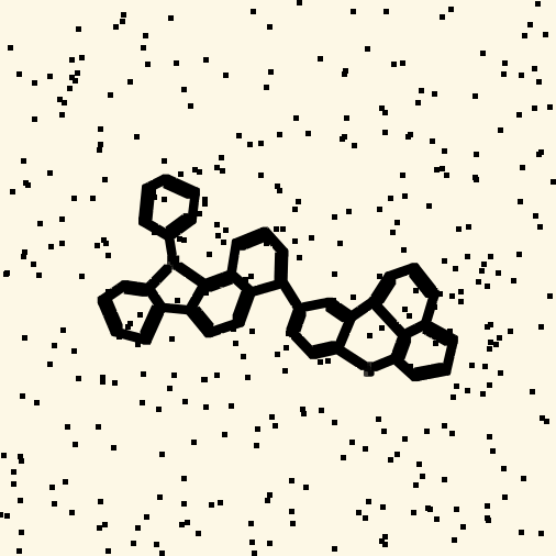 c1ccc(-n2c3ccccc3c3ccc4c(-c5ccc6c(c5)-c5cccc7cccc(c57)S6)cccc4c32)cc1